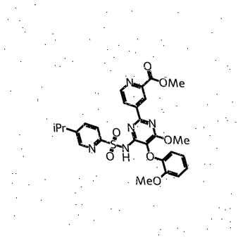 COC(=O)c1cc(-c2nc(NS(=O)(=O)c3ccc(C(C)C)cn3)c(Oc3ccccc3OC)c(OC)n2)ccn1